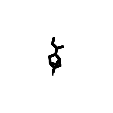 CCC(C)N1CC2CC1CN2I